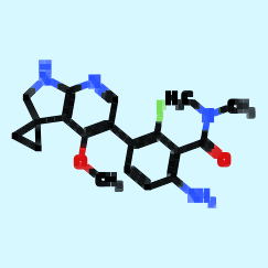 COc1c(-c2ccc(N)c(C(=O)N(C)C)c2F)cnc2c1C1(CC1)CN2